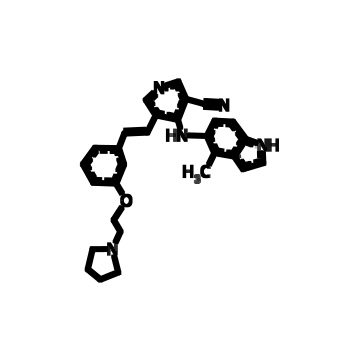 Cc1c(Nc2c(C#N)cncc2C=Cc2cccc(OCCN3CCCC3)c2)ccc2[nH]ccc12